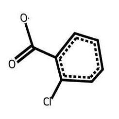 [O]C(=O)c1ccccc1Cl